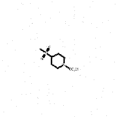 [CH2]S(=O)(=O)C1CCN(C(=O)OCC)CC1